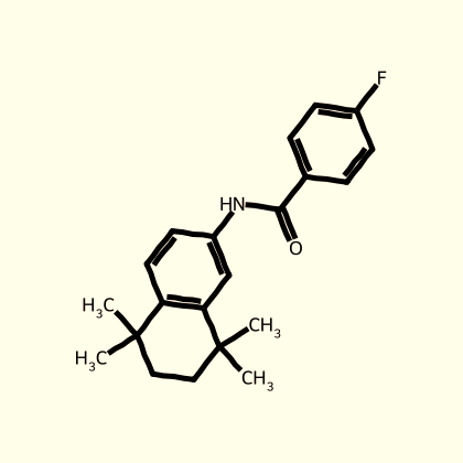 CC1(C)CCC(C)(C)c2cc(NC(=O)c3ccc(F)cc3)ccc21